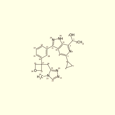 CC(O)c1nc(C2CC2)cc2c(-c3cccc(C4(Cc5nncn5C)COC4)c3)n[nH]c12